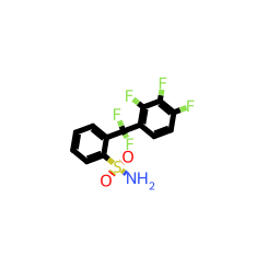 NS(=O)(=O)c1ccccc1C(F)(F)c1ccc(F)c(F)c1F